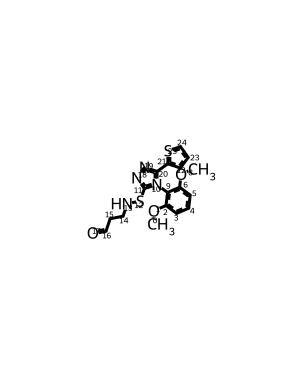 COc1cccc(OC)c1-n1c(SNCCC=O)nnc1-c1cccs1